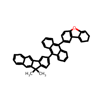 CC1(C)c2ccc(-c3c4ccccc4c(-c4ccc5oc6c(c5c4)=CCCC=6)c4ccccc34)cc2-c2cc3ccccc3cc21